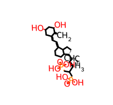 C=C1/C(=C\C=C2/CCC[C@@]3(C)C2CC[C@@H]3[C@H](C)/C=C/C(CP(=O)(O)O)CP(=O)(O)O)C[C@@H](O)C[C@@H]1O